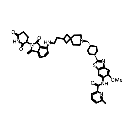 C=C1c2cccc(NCCC3CC4(CCN(C[C@H]5CC[C@H](c6nc7cc(OC)c(NC(=O)c8cccc(C)n8)cc7s6)CC5)CC4)C3)c2C(=O)N1C1CCC(=O)NC1=O